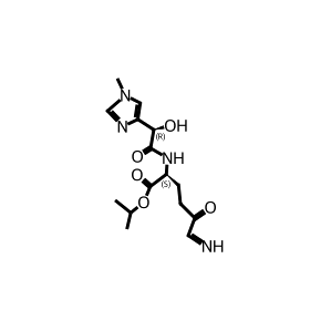 CC(C)OC(=O)[C@H](CCC(=O)C=N)NC(=O)[C@H](O)c1cn(C)cn1